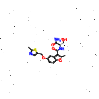 Cc1ncc(COc2ccc3oc(C)c(C(=O)N[C@@H](CO)C(N)=O)c3c2)s1